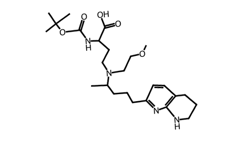 COCCN(CCC(NC(=O)OC(C)(C)C)C(=O)O)C(C)CCCc1ccc2c(n1)NCCC2